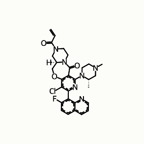 C=CC(=O)N1CCN2C(=O)c3c(N4CCN(C)C[C@@H]4C)nc(-c4c(F)ccc5cccnc45)c(Cl)c3OC[C@H]2C1